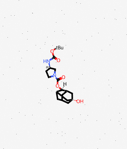 CC(C)(C)OC(=O)N[C@@H]1CCN(C(=O)O[C@H]2C3CC4CC2C[C@](O)(C4)C3)C1